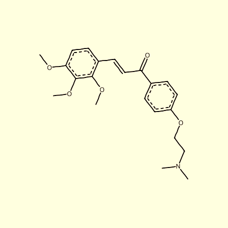 COc1ccc(C=CC(=O)c2ccc(OCCN(C)C)cc2)c(OC)c1OC